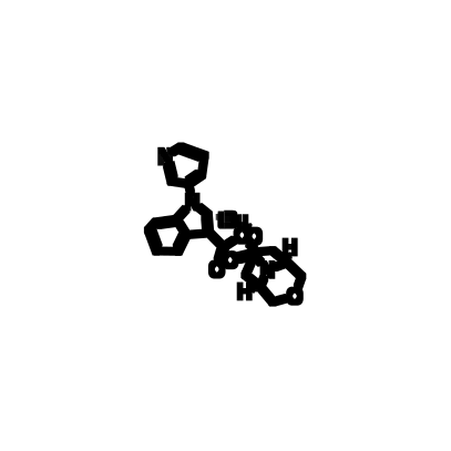 CC(C)(C)OC(=O)N1[C@@H]2COC[C@H]1C[C@@H](OC(=O)c1cn(-c3cccnc3)c3ccccc13)C2